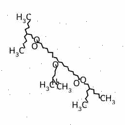 CCCCCC(CCCCC)CCOC(=O)CCCCCCCC(CCCCCCCC(=O)OCCC(CCCCC)CCCCC)OCCCCN(C)CC